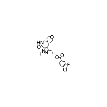 CCn1nc(CCCOC(=O)c2ccc(Cl)c(F)c2)c2c1C(=O)NCC1(CCOCC1)C2